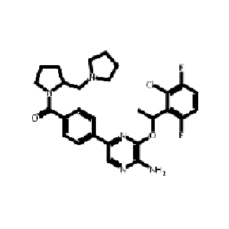 CC(Oc1nc(-c2ccc(C(=O)N3CCCC3CN3CCCC3)cc2)cnc1N)c1c(F)ccc(F)c1Cl